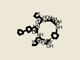 O=C(O)[C@@H]1Cc2ccc(cc2)NC(=O)[C@H](O)[C@@H](O)C(=O)N[C@H](Cc2cccs2)C(=O)N[C@@H](Cc2ccc(-c3ccccc3)cc2)C(=O)N[C@H](Cc2cccs2)C(=O)N1